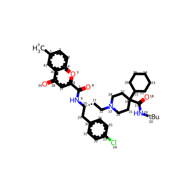 Cc1ccc2oc(C(=O)N[C@H](CCN3CCC(C(=O)NC(C)(C)C)(C4CCCCC4)CC3)Cc3ccc(Cl)cc3)cc(=O)c2c1